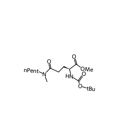 CCCCCN(C)C(=O)CC[C@H](NC(=O)OC(C)(C)C)C(=O)OC